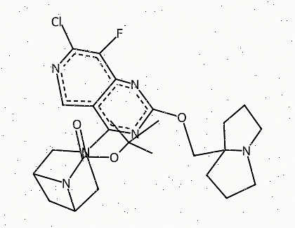 CC(C)(C)OC(=O)N1C2CC1CN(c1nc(OCC34CCCN3CCC4)nc3c(F)c(Cl)ncc13)C2